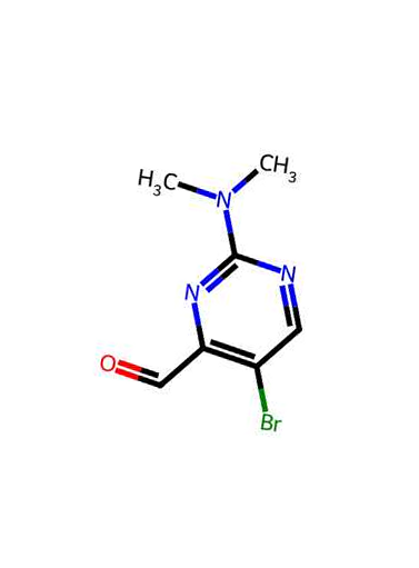 CN(C)c1ncc(Br)c(C=O)n1